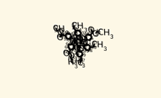 CCOC(=O)c1ccc(OP2(Oc3ccc(CC)cc3)=NP(Oc3ccc(CC)cc3)(Oc3ccc(CC)cc3)=NP(Oc3ccc(C(=O)OCC)cc3)(Oc3ccc(C(=O)OCC)cc3)=N2)cc1